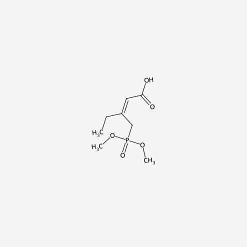 CCC(=CC(=O)O)CP(=O)(OC)OC